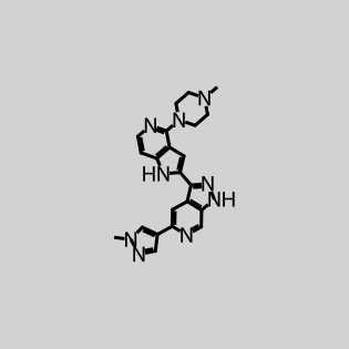 CN1CCN(c2nccc3[nH]c(-c4n[nH]c5cnc(-c6cnn(C)c6)cc45)cc23)CC1